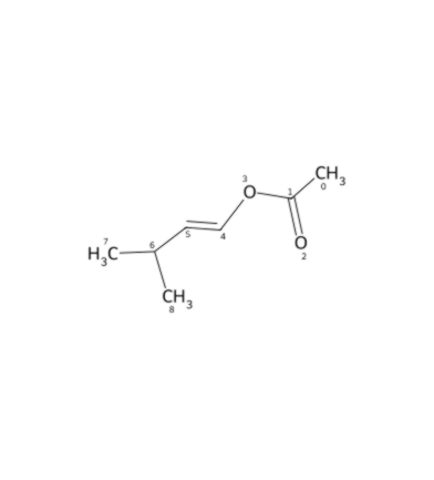 CC(=O)O/C=C/C(C)C